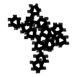 c1ccc(-c2nn3c(-c4ccccc4)cc4ccc(N(c5ccc(-c6ccc7ccccc7c6)cc5)c5cccc6c5-c5ccccc5C6(c5ccccc5)c5ccccc5)cc4c3c2-c2ccccc2)cc1